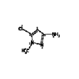 Cn1nc(N)cc1Cl